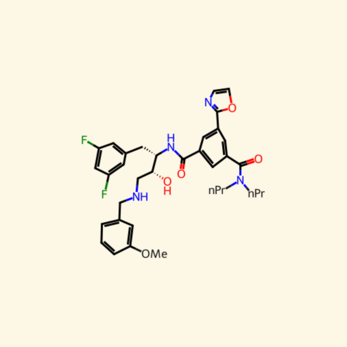 CCCN(CCC)C(=O)c1cc(C(=O)N[C@@H](Cc2cc(F)cc(F)c2)[C@H](O)CNCc2cccc(OC)c2)cc(-c2ncco2)c1